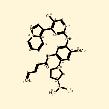 C=C/C=C/C(=O)Nc1cc(Nc2ncc(Cl)c(-c3cnn4ccccc34)n2)c(OC)cc1N1CC[C@H](N(C)C)C1